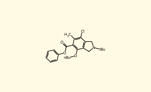 CCCCOc1c2c(c(Cl)c(C)c1C(=O)Oc1ccccc1)CN(C(C)(C)C)C2